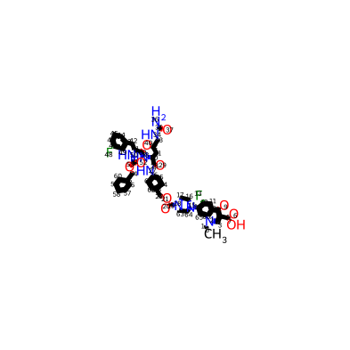 CCn1cc(C(=O)O)c(=O)c2cc(F)c(N3CCN(C(=O)OCc4ccc(NC(=O)C(CCCNC(N)=O)NC(=O)C(Cc5cccc(F)c5)NC(=O)OCc5ccccc5)cc4)CC3)cc21